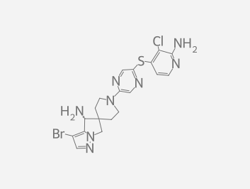 Nc1nccc(Sc2cnc(N3CCC4(CC3)Cn3ncc(Br)c3[C@H]4N)cn2)c1Cl